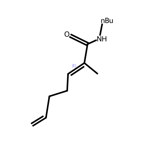 C=CCC/C=C(\C)C(=O)NCCCC